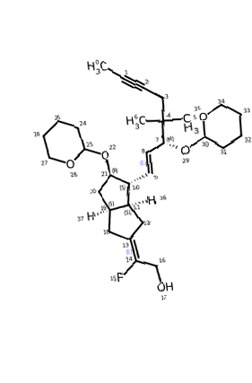 CC#CCC(C)(C)[C@@H](/C=C/[C@@H]1[C@H]2C/C(=C(/F)CO)C[C@H]2C[C@H]1OC1CCCCO1)OC1CCCCO1